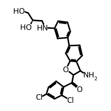 NC1c2ccc(-c3cccc(NC[C@@H](O)CO)c3)cc2OC1C(=O)c1ccc(Cl)cc1Cl